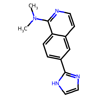 CN(C)c1nccc2cc(-c3ncc[nH]3)ccc12